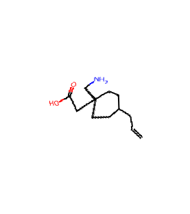 C=CCC1CCC(CN)(CC(=O)O)CC1